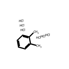 Cc1ccccc1C.Cl.Cl.Cl.Cl.Cl.Cl